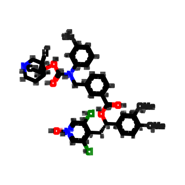 COc1ccc([C@H](Cc2c(Cl)c[n+]([O-])cc2Cl)OC(=O)c2cccc(CN(C(=O)O[C@H]3CN4CCC3CC4)c3cccc(C(C)(C)C)c3)c2)cc1OC